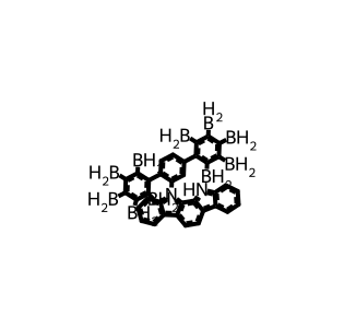 Bc1c(B)c(B)c(-c2ccc(-c3c(B)c(B)c(B)c(B)c3B)c(-n3c4ccccc4c4ccc5c6ccccc6[nH]c5c43)c2)c(B)c1B